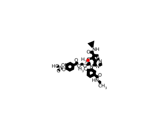 CCNC(=O)c1ccc(C)c(N(C(=O)OCOC(=O)c2ccc(OP(=O)(O)O)cc2)c2ncnn3cc(C(=O)NC4CC4)c(C)c23)c1